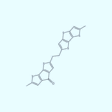 Cc1cc2c(s1)-c1sc(CCc3cc4sc5cc(C)sc5c4s3)cc1C2=O